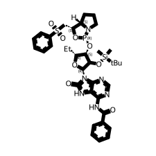 CC[C@H]1O[C@@H](n2c(=O)[nH]c3c(NC(=O)c4ccccc4)ncnc32)C(O[Si](C)(C)C(C)(C)C)[C@H]1O[P@@]1O[C@H](CS(=O)(=O)c2ccccc2)[C@@H]2CCCN21